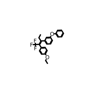 CCOc1ccc(C(=C(CC)c2cccc(Oc3ccccc3)c2)C(F)(F)F)cc1